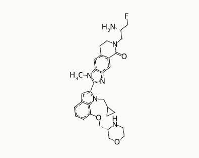 Cn1c(-c2cc3cccc(OC[C@H]4COCCN4)c3n2CC2CC2)nc2cc3c(cc21)CCN(C[C@H](N)CF)C3=O